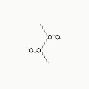 CCCCCCCCc1cc(Cc2ccc(N)cc2)ccc1CCCCCCc1ccc(Cc2ccc(N)cc2)cc1CCCCCCCC